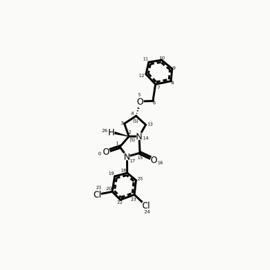 O=C1[C@@H]2C[C@H](OCc3ccccc3)CN2C(=O)N1c1cc(Cl)cc(Cl)c1